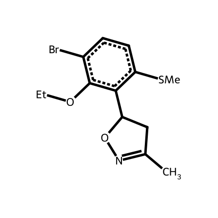 CCOc1c(Br)ccc(SC)c1C1CC(C)=NO1